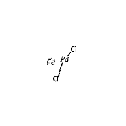 [Cl][Pd][Cl].[Fe]